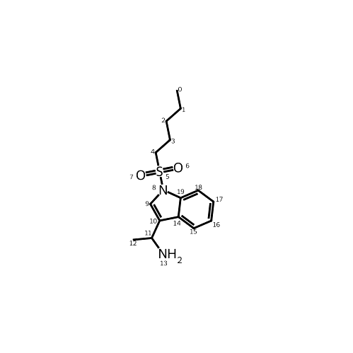 CCCCCS(=O)(=O)n1cc(C(C)N)c2ccccc21